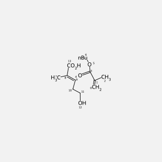 C=C(C)C(=O)OCCCC.CC(=CCCO)C(=O)O